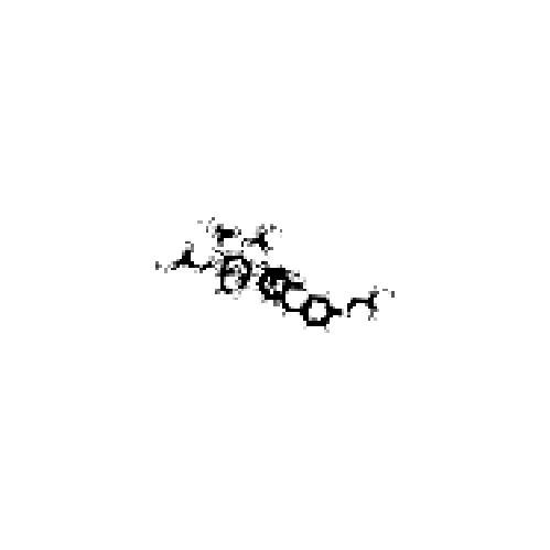 CC(=O)COc1ccc(Cc2cc([C@]34OC[C@](COC(C)=O)(O3)[C@@H](OC(C)=O)[C@H](OC(C)=O)[C@H]4OC(C)=O)ccc2Cl)cc1